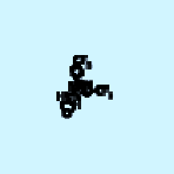 O=C(/N=C(\Nc1cc(C(F)(F)F)n[nH]1)NC1CCOCC1)c1ccc(C(F)(F)F)cc1